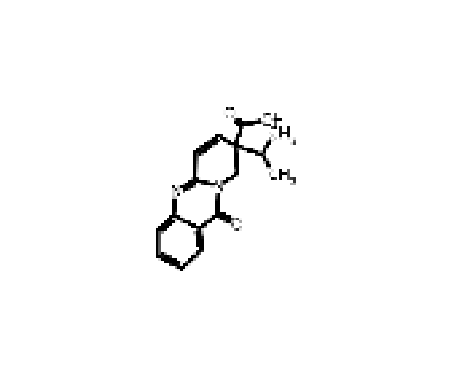 CC(C)C1(C(=O)O)C=Cc2nc3ccccc3c(=O)n2C1